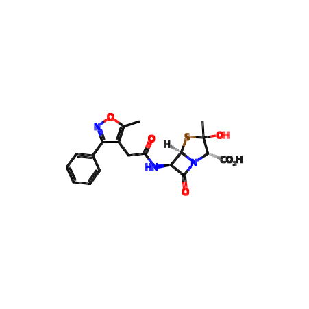 Cc1onc(-c2ccccc2)c1CC(=O)N[C@@H]1C(=O)N2[C@@H]1SC(C)(O)[C@@H]2C(=O)O